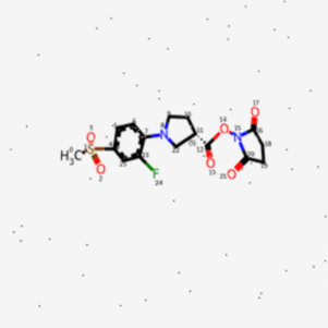 CS(=O)(=O)c1ccc(N2CC[C@H](C(=O)ON3C(=O)CCC3=O)C2)c(F)c1